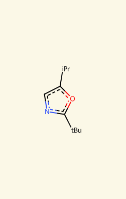 CC(C)c1cnc(C(C)(C)C)o1